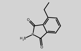 BN1C(=O)c2cccc(CC)c2C1=O